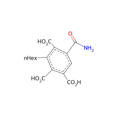 CCCCCCc1c(C(=O)O)c(C(N)=O)cc(C(=O)O)c1C(=O)O